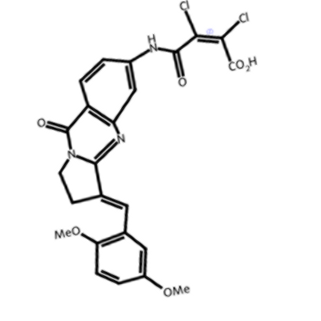 COc1ccc(OC)c(C=C2CCn3c2nc2cc(NC(=O)/C(Cl)=C(/Cl)C(=O)O)ccc2c3=O)c1